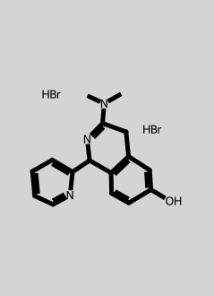 Br.Br.CN(C)C1=NC(c2ccccn2)c2ccc(O)cc2C1